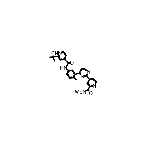 CNC(=O)c1cc(-c2nccc(-c3cc(NC(=O)c4ccnc(C(C)(C)C#N)c4)ccc3C)n2)ccn1